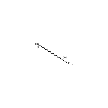 CCCCC(O)C=CCCCCCCCSCCCCC(=O)O